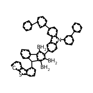 Bc1c(B)c2c(c(B)c1-c1ccc3c(c1)c1cc(-c4cccc(-c5ccccc5)c4)ccc1n3-c1cccc(-c3ccccc3)c1)-c1ccccc1C2c1cccc2sc3ccccc3c12